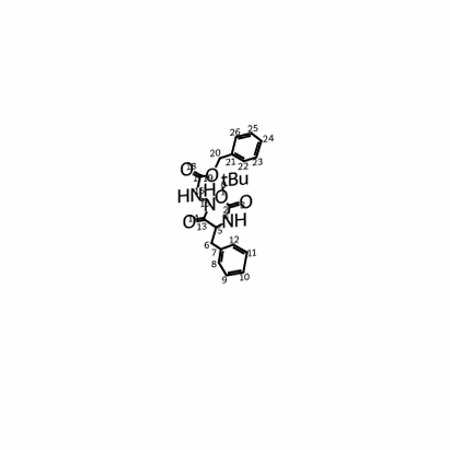 CC(C)(C)OC(=O)NC(Cc1ccccc1)C(=O)NNC(=O)OCc1ccccc1